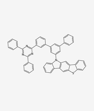 c1ccc(-c2cc(-c3cccc(-c4nc(-c5ccccc5)nc(-c5ccccc5)n4)c3)cc(-n3c4ccccc4c4cc5sc6ccccc6c5cc43)c2)cc1